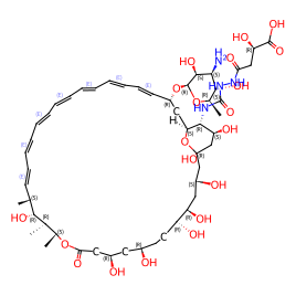 C[C@@H]1[C@H](O)[C@@H](C)/C=C/C=C/C=C/C=C/C=C/C=C/C=C/[C@H](O[C@@H]2O[C@H](C)[C@@H](O)[C@H](N)[C@@H]2O)C[C@@H]2O[C@](O)(C[C@@H](O)C[C@@H](O)[C@H](O)CC[C@@H](O)C[C@@H](O)CC(=O)O[C@H]1C)C[C@H](O)[C@H]2NC(=O)NNC(=O)C[C@@H](O)C(=O)O